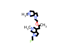 CC(CC1CN(C)CC2C1CCN2CCF)OCCN1CCC2CCN(C)CC21